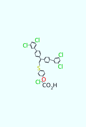 O=C(O)C(Cl)Oc1ccc(SCC=C(c2ccc(-c3cc(Cl)cc(Cl)c3)cc2)c2ccc(-c3cc(Cl)cc(Cl)c3)cc2)cc1